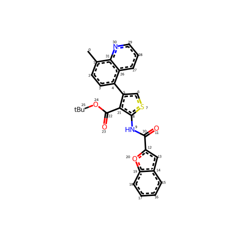 Cc1ccc(-c2csc(NC(=O)c3cc4ccccc4o3)c2C(=O)OC(C)(C)C)c2cccnc12